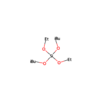 CCO[Si](OCC)(OC(C)CC)OC(C)CC